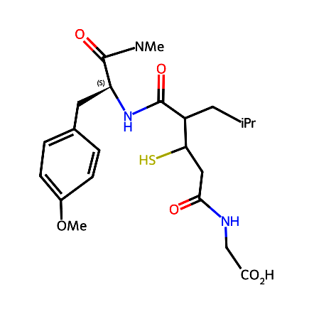 CNC(=O)[C@H](Cc1ccc(OC)cc1)NC(=O)C(CC(C)C)C(S)CC(=O)NCC(=O)O